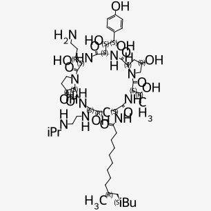 CC[C@H](C)C[C@H](C)CCCCCCCCC(=O)N[C@H]1C[C@@H](O)[C@@H](NCCNC(C)C)NC(=O)[C@@H]2[C@@H](O)CCN2C(=O)[C@H]([C@H](O)CCN)NC(=O)[C@H]([C@H](O)[C@@H](O)c2ccc(O)cc2)NC(=O)[C@@H]2C[C@@H](O)CN2C(=O)[C@H]([C@@H](C)O)NC1=O